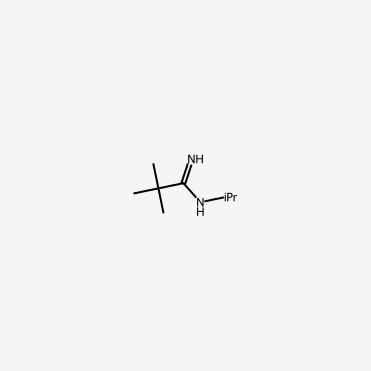 CC(C)NC(=N)C(C)(C)C